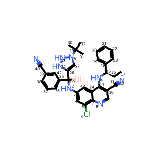 BC(Nc1cc(Cl)c2ncc(C#N)c(N[C@H](CC)c3ccccc3)c2c1)(C1=CN(C(C)(C)C)NN1)c1cccc(C#N)c1